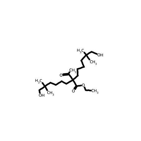 CCOC(=O)C(CCCCC(C)(C)CO)(CCCCC(C)(C)CO)C(C)=O